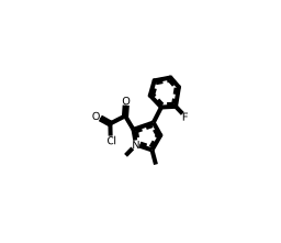 Cc1cc(-c2ccccc2F)c(C(=O)C(=O)Cl)n1C